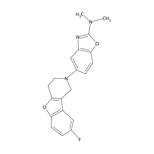 CN(C)c1nc2cc(N3CCc4oc5ccc(F)cc5c4C3)ccc2o1